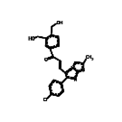 Cc1cn2c(/C=C/C(=O)c3ccc(CO)c(CO)c3)c(-c3ccc(Cl)cc3)nc2s1